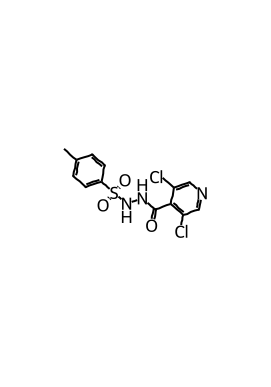 Cc1ccc(S(=O)(=O)NNC(=O)c2c(Cl)cncc2Cl)cc1